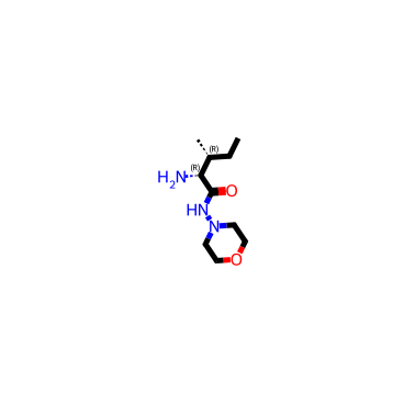 CC[C@@H](C)[C@@H](N)C(=O)NN1CCOCC1